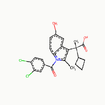 Cc1c([C@](C)(C(=O)O)C2CCC2)c2cc(O)ccc2n1C(=O)c1ccc(Cl)c(Cl)c1